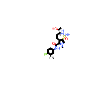 CC(O)[C@H]1C=Cc2c(cn(C)c2C(=O)Nc2ccc(F)c(C#N)c2)S(=N)(=O)N1